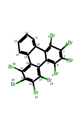 Brc1c(Br)c(Br)c2c(c1Br)c1ccccc1c1c(Br)c(Br)c(Br)c(Br)c12